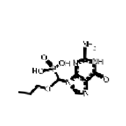 CCCOC(n1cnc2c(=O)[nH]c(N)nc21)P(=O)(O)O